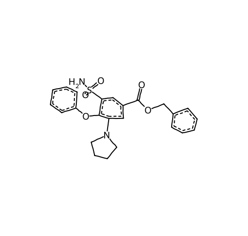 NS(=O)(=O)c1cc(C(=O)OCc2ccccc2)cc(N2CCCC2)c1Oc1ccccc1